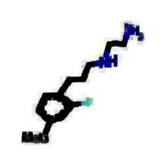 COc1ccc(CCCNCCN)c(F)c1